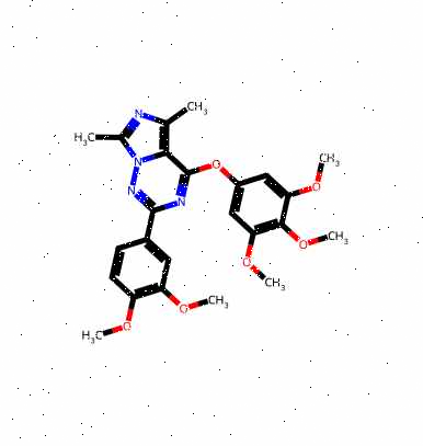 COc1ccc(-c2nc(Oc3cc(OC)c(OC)c(OC)c3)c3c(C)nc(C)n3n2)cc1OC